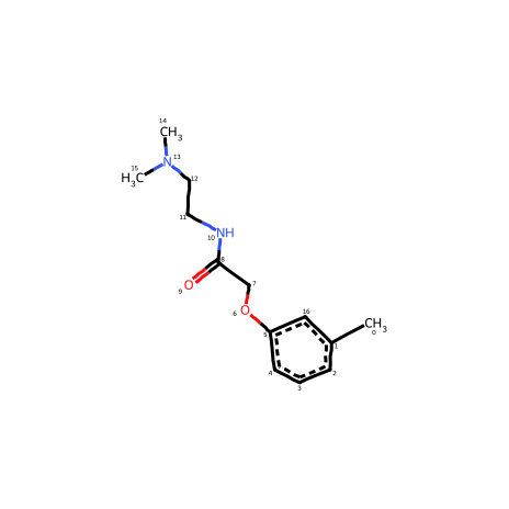 Cc1cccc(OCC(=O)NCCN(C)C)c1